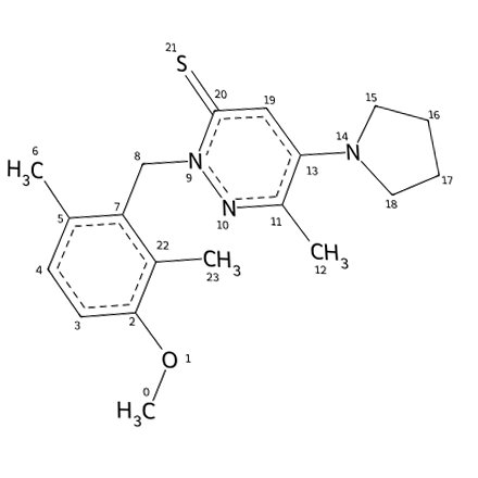 COc1ccc(C)c(Cn2nc(C)c(N3CCCC3)cc2=S)c1C